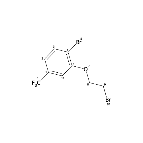 FC(F)(F)c1ccc(Br)c(OCCBr)c1